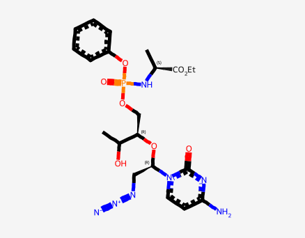 CCOC(=O)[C@H](C)NP(=O)(OC[C@@H](O[C@H](CN=[N+]=[N-])n1ccc(N)nc1=O)C(C)O)Oc1ccccc1